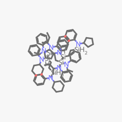 CCC(C)N(c1ccccc1)[Si](CC[Si](N(CC)c1ccccc1)(N(c1ccccc1)C(C)CC)[SiH](CC[SiH2]N(c1ccccc1)C1CCCC1)N(c1ccccc1)C1CCCC1)(N(CC)c1ccccc1)[SiH](CC[SiH2]N(c1ccccc1)C1CCCCC1)N(c1ccccc1)C1CCCCC1